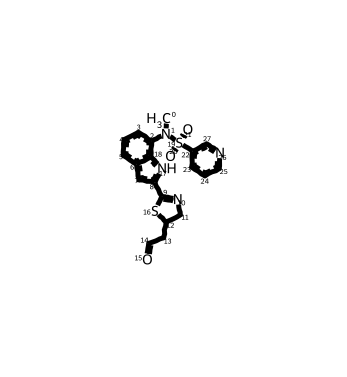 CN(c1cccc2cc(C3=NCC(CC=O)S3)[nH]c12)S(=O)(=O)c1cccnc1